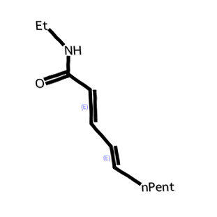 CCCCC/C=C/C=C/C(=O)NCC